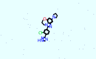 Clc1cc(-c2nc3cc(N4CCCC4)cc4c3n2CCCO4)ccc1-c1nc[nH]n1